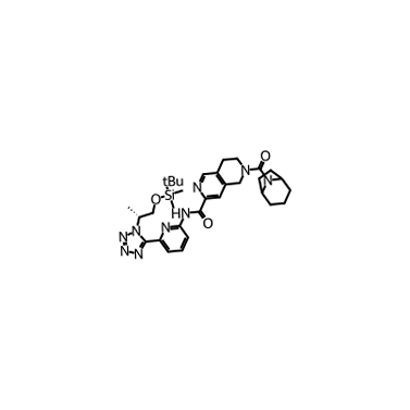 C[C@H](CO[Si](C)(C)C(C)(C)C)n1nnnc1-c1cccc(NC(=O)c2cc3c(cn2)CCN(C(=O)N2C4CCCC2CC4)C3)n1